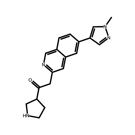 Cn1cc(-c2ccc3cnc(CC(=O)C4CCNC4)cc3c2)cn1